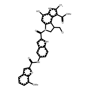 COC(=O)c1c(C(F)(F)F)[nH]c2c(O)cc3c(c12)C(CCl)CN3C(=O)c1cc2cc(NC(=O)c3cc4cccc(OC)c4o3)ccc2[nH]1